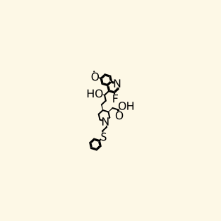 COc1ccc2ncc(F)c([C@@H](O)CC[C@@H]3CCN(CCSc4ccccc4)C[C@@H]3CC(=O)O)c2c1